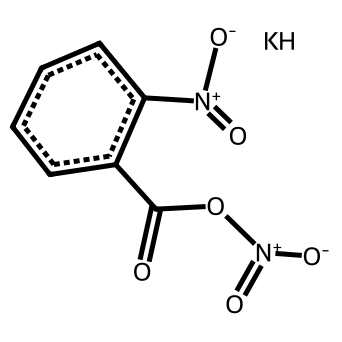 O=C(O[N+](=O)[O-])c1ccccc1[N+](=O)[O-].[KH]